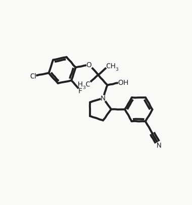 CC(C)(Oc1ccc(Cl)cc1F)C(O)N1CCCC1c1cccc(C#N)c1